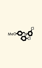 COc1ccc(CN(c2cccc(Cl)c2)c2ccccc2Cl)cc1